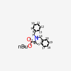 CCCCOC(=O)[C@H](C)N(Cc1ccccc1)Cc1ccccc1